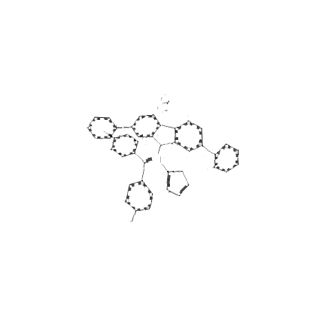 Cc1ccc([C](c2ccc(C)cc2)=[Ti+2]([C]2=CC=CC2)[CH]2c3cc(-c4ccccc4)ccc3-c3ccc(-c4ccccc4)cc32)cc1.[Cl-].[Cl-]